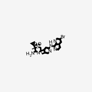 C[C@]1(C2CC2)C(N)=N[C@@]2(Cc3cnc(Nc4nccc5cc(Br)cnc45)cc32)CS1(=O)=O